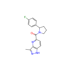 Cc1n[nH]c2ccc(C(=O)N3CCCC3c3ccc(F)cc3)nc12